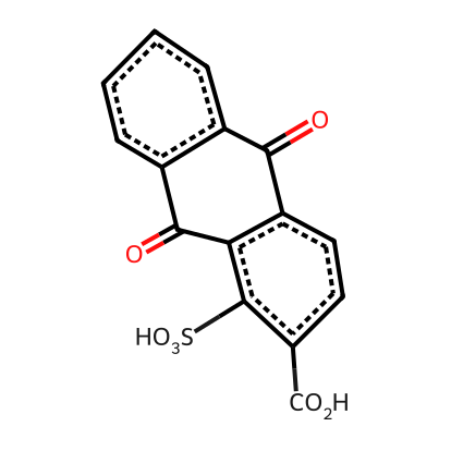 O=C1c2ccccc2C(=O)c2c1ccc(C(=O)O)c2S(=O)(=O)O